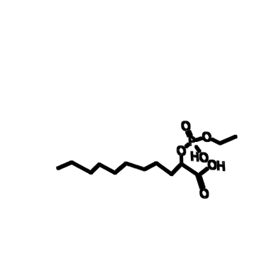 CCCCCCCCCC(OP(=O)(O)OCC)C(=O)O